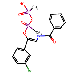 CP(=O)(O)OP(C)(=O)OC(=CNC(=O)c1ccccc1)c1cccc(Br)c1